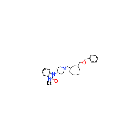 CCn1c(=O)n(C2CCN(CC3CCCCCC(COCc4ccccc4)C3)CC2)c2ccccc21